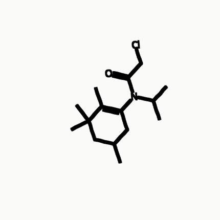 CC1=C(N(C(=O)CCl)C(C)C)CC(C)CC1(C)C